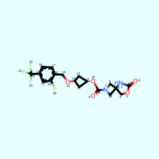 O=C1NC2(CO1)CN(C(=O)O[C@H]1C[C@H](OCc3ccc(C(F)(F)F)cc3F)C1)C2